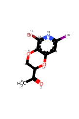 CC(=O)C1COc2c(cc(I)nc2Br)O1